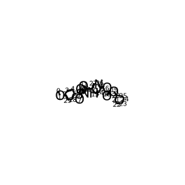 COc1ccc(S(=O)(=O)NC(=O)c2ccc(OC(=O)OC3CCCCC3)nc2)cc1